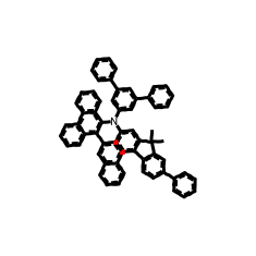 CC1(C)c2cc(-c3ccccc3)ccc2-c2ccc(N(c3cc(-c4ccccc4)cc(-c4ccccc4)c3)c3c(-c4ccc5ccccc5c4)c4ccccc4c4ccccc34)cc21